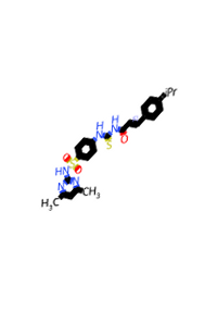 Cc1cc(C)nc(NS(=O)(=O)c2ccc(NC(=S)NC(=O)/C=C/c3ccc(C(C)C)cc3)cc2)n1